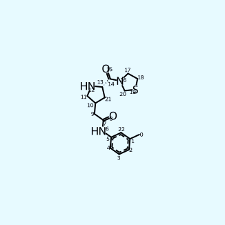 Cc1cccc(NC(=O)CC2CN[C@H](C(=O)N3CCSC3)C2)c1